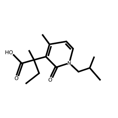 CCC(C)(C(=O)O)c1c(C)ccn(CC(C)C)c1=O